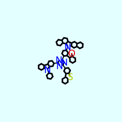 c1ccc(-n2c3ccccc3c3ccc(-c4nc(-c5ccc6sc7ccccc7c6c5)nc(-c5ccc(-n6c7cc8ccccc8cc7c7ccc8ccccc8c76)c6oc7ccccc7c56)n4)cc32)cc1